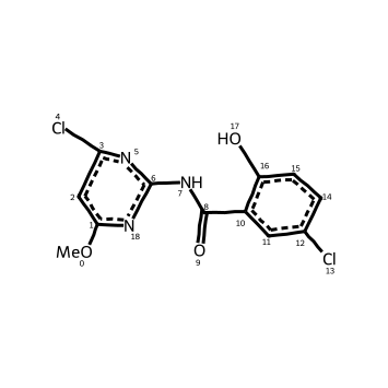 COc1cc(Cl)nc(NC(=O)c2cc(Cl)ccc2O)n1